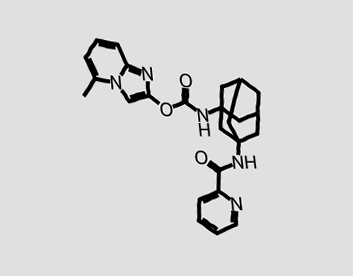 Cc1cccc2nc(OC(=O)NC34CC5CC(C3)CC(NC(=O)c3ccccn3)(C5)C4)cn12